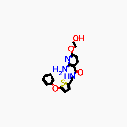 Nc1nc(OCCO)ccc1C(=O)NCc1ccc(Oc2ccccc2)s1